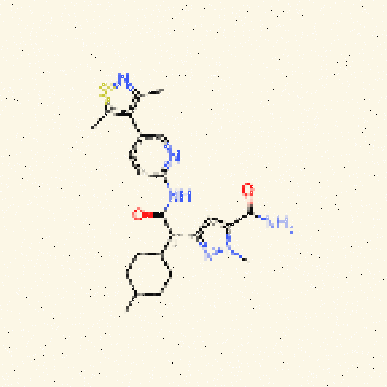 Cc1nsc(C)c1-c1ccc(NC(=O)[C@H](c2cc(C(N)=O)n(C)n2)C2CCC(C)CC2)nc1